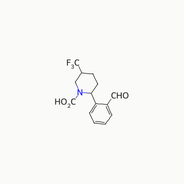 O=Cc1ccccc1C1CCC(C(F)(F)F)CN1C(=O)O